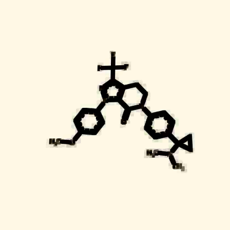 COc1ccc(-n2nc(C(F)(F)F)c3c2C(=O)N(c2ccc(C4(N(C)C)CC4)cc2)CC3)cc1